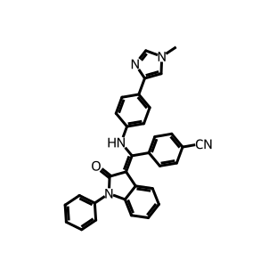 Cn1cnc(-c2ccc(N/C(=C3\C(=O)N(c4ccccc4)c4ccccc43)c3ccc(C#N)cc3)cc2)c1